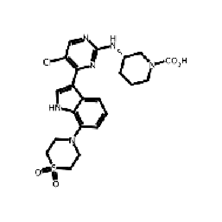 O=C(O)N1CCC[C@H](Nc2ncc(Cl)c(-c3c[nH]c4c(N5CCS(=O)(=O)CC5)cccc34)n2)C1